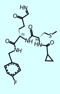 CSC[C@H](NC(=O)C1CC1)C(=O)N[C@@H](CCC(=O)C=N)C(=O)NCc1ccc(F)cc1